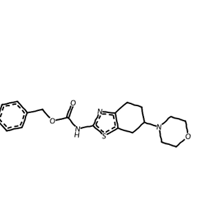 O=C(Nc1nc2c(s1)CC(N1CCOCC1)CC2)OCc1ccccc1